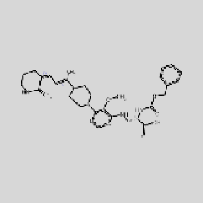 C=C1NCCC/C1=C/C=C(\C)C1CCN(c2ncnc(NC[C@H](NC(=O)OCc3ccccc3)C(=O)O)c2OC)CC1